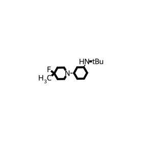 CC1(F)CCN([C@H]2CCC[C@@H](NC(C)(C)C)C2)CC1